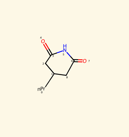 CCCC1CC(=O)NC(=O)C1